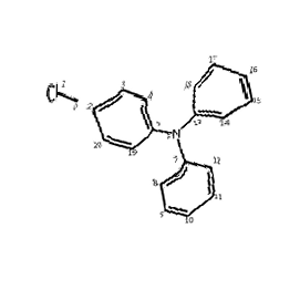 CCl.c1ccc(N(c2ccccc2)c2ccccc2)cc1